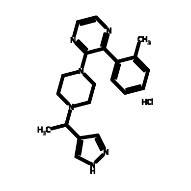 Cc1ccccc1-c1nccnc1N1CCN(C(C)c2cn[nH]c2)CC1.Cl